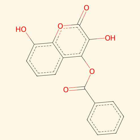 O=C(Oc1c(O)c(=O)oc2c(O)cccc12)c1ccccc1